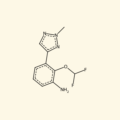 Cn1ncc(-c2cccc(N)c2OC(F)F)n1